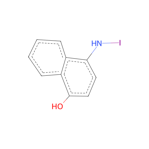 Oc1ccc(NI)c2ccccc12